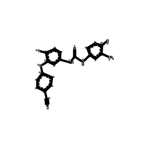 Cc1cc(NC(=O)Nc2ccc(F)c(Oc3ccc(C#N)cc3)c2)ccc1Cl